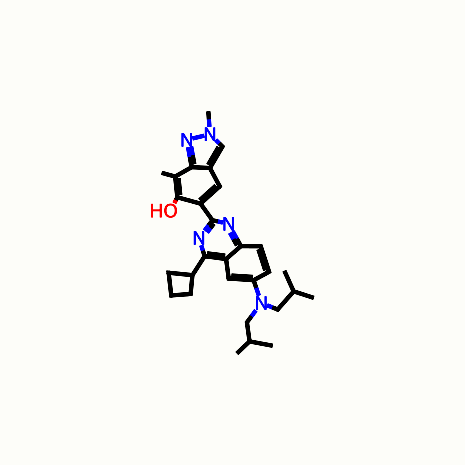 Cc1c(O)c(-c2nc(C3CCC3)c3cc(N(CC(C)C)CC(C)C)ccc3n2)cc2cn(C)nc12